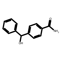 NC(=O)c1ccc(C(O)c2ccccc2)cc1